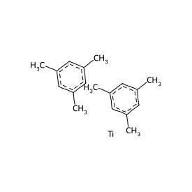 Cc1cc(C)cc(C)c1.Cc1cc(C)cc(C)c1.[Ti]